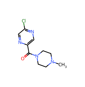 CN1CCN(C(=O)c2cnc(Cl)cn2)CC1